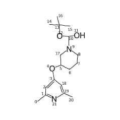 Cc1cc(OC2CCCN(C(O)OC(C)(C)C)C2)cc(C)n1